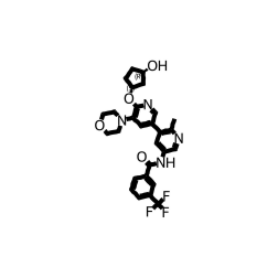 Cc1ncc(NC(=O)c2cccc(C(F)(F)F)c2)cc1-c1cnc(O[C@H]2CC[C@@H](O)C2)c(N2CCOCC2)c1